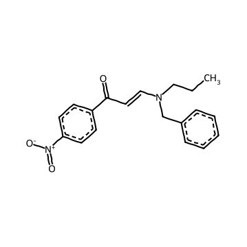 CCCN(C=CC(=O)c1ccc([N+](=O)[O-])cc1)Cc1ccccc1